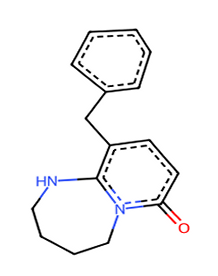 O=c1ccc(Cc2ccccc2)c2n1CCCCN2